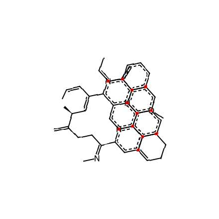 C=C(/C=C\C)c1ccc2ccc3ccc(/C(CCC(=C)[C@@H](C)/C=C(\C=C/C)c4nc5ccccc5c5c(OC)c(C6C=CCCC6)ccc45)=N/C)nc3c2n1